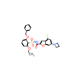 CCOc1cccc(OCc2ccccc2)c1S(=O)(=O)NC(=O)c1cc2c(F)cc(N3CCC3)cc2o1